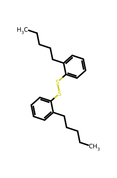 CCCCCc1ccccc1SSc1ccccc1CCCCC